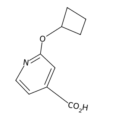 O=C(O)c1ccnc(OC2CCC2)c1